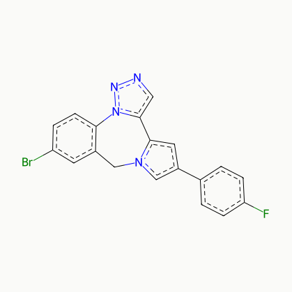 Fc1ccc(-c2cc3n(c2)Cc2cc(Br)ccc2-n2nncc2-3)cc1